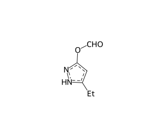 CCc1cc(OC=O)n[nH]1